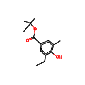 CCc1cc(C(=O)OC(C)(C)C)cc(C)c1O